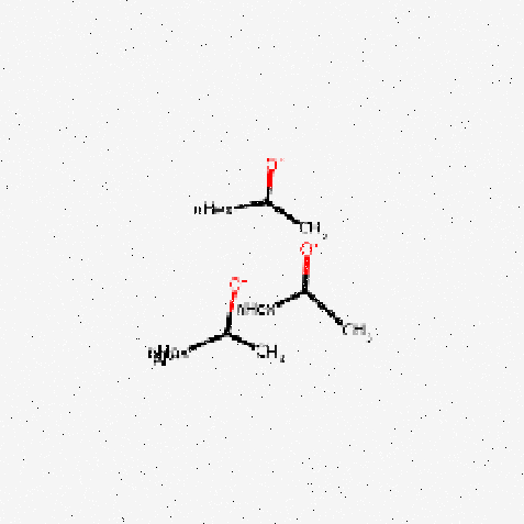 CCCCCCC(C)[O-].CCCCCCC(C)[O-].CCCCCCC(C)[O-].[Al+3]